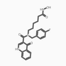 O=C(CCCCCN(Cc1ccc(F)cc1)C(=O)c1c[nH]c2ccccc2c1=O)NO